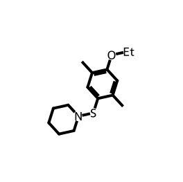 CCOc1cc(C)c(SN2CCCCC2)cc1C